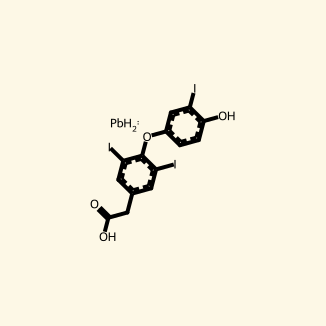 O=C(O)Cc1cc(I)c(Oc2ccc(O)c(I)c2)c(I)c1.[PbH2]